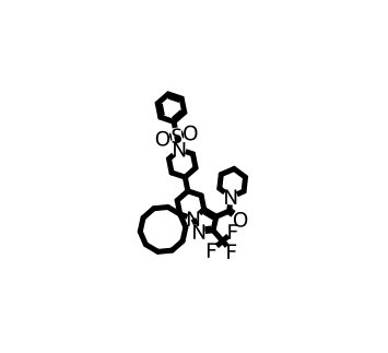 O=C(c1c(C(F)(F)F)nn2c1CC(C1CCN(S(=O)(=O)c3ccccc3)CC1)CC21CCCCCCCCC1)N1CCCCC1